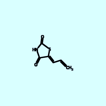 C=CC=C1SC(=O)NC1=O